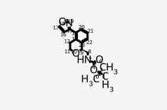 CC(C)(C)OC(=O)NC[C@H]1OCCc2c(-c3ccon3)cccc21